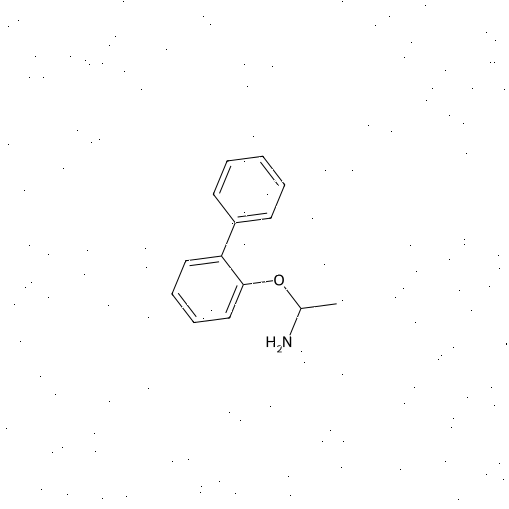 CC(N)Oc1ccccc1-c1ccccc1